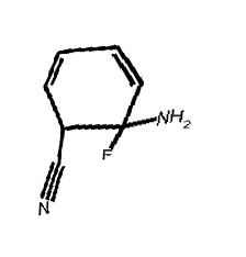 N#CC1C=CC=CC1(N)F